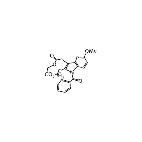 COc1ccc2c(c1)c(CC(=O)OCC(=O)O)c(C)n2C(=O)c1ccccc1